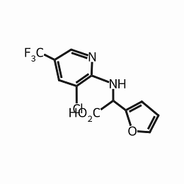 O=C(O)C(Nc1ncc(C(F)(F)F)cc1Cl)c1ccco1